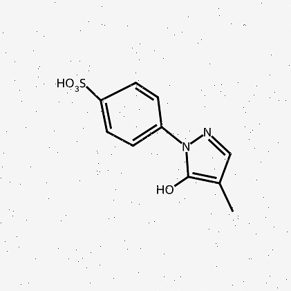 Cc1cnn(-c2ccc(S(=O)(=O)O)cc2)c1O